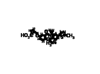 Cc1ncc(-c2cc(C3(NC(=O)c4cc(OCC5CCN5C(=O)O)ccc4C)CC3)c3cccnc3c2)s1